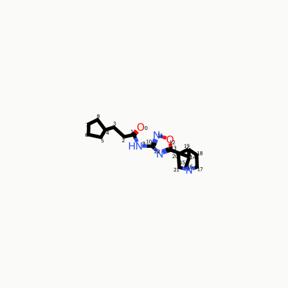 O=C(CCC1CCCC1)Nc1noc(C2CN3CCC2CC3)n1